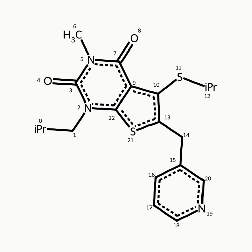 CC(C)Cn1c(=O)n(C)c(=O)c2c(SC(C)C)c(Cc3cccnc3)sc21